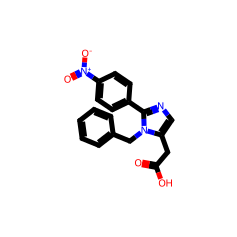 O=C(O)Cc1cnc(-c2ccc([N+](=O)[O-])cc2)n1Cc1ccccc1